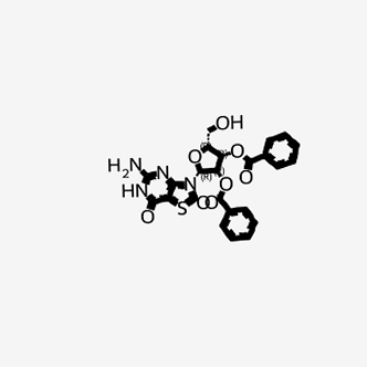 Nc1nc2c(sc(=O)n2[C@@H]2O[C@H](CO)[C@@H](OC(=O)c3ccccc3)[C@H]2OC(=O)c2ccccc2)c(=O)[nH]1